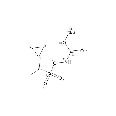 CC(C1CC1)S(=O)(=O)ONC(=O)OC(C)(C)C